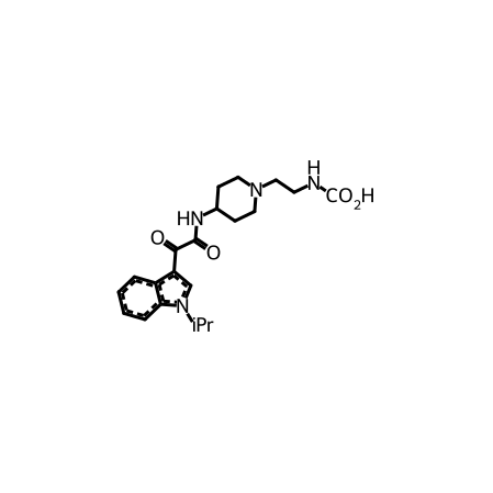 CC(C)n1cc(C(=O)C(=O)NC2CCN(CCNC(=O)O)CC2)c2ccccc21